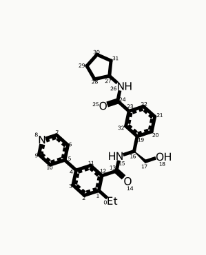 CCc1ccc(-c2ccncc2)cc1C(=O)N[C@H](CO)c1cccc(C(=O)NC2CCCC2)c1